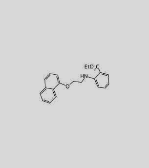 CCOC(=O)c1ccccc1NCCOc1cccc2ccccc12